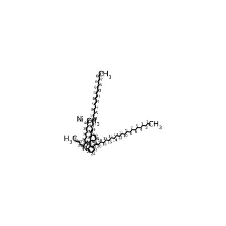 CCCCCCCCCCCCCCCCCCCCC=Cc1cccc(N=C(CCCC)C(CCCCCCCC)=Nc2cccc(C=CCCCCCCCCCCCCCCCCCCCC)c2)c1.[Ni]